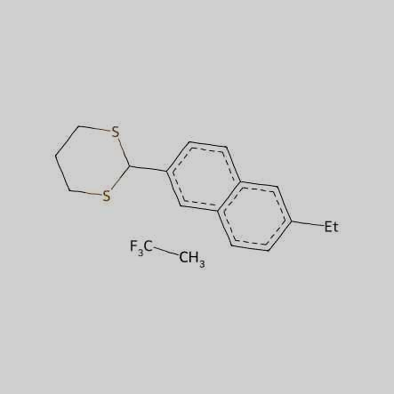 CC(F)(F)F.CCc1ccc2cc(C3SCCCS3)ccc2c1